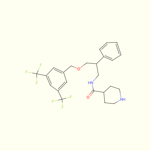 O=C(NCC(COCc1cc(C(F)(F)F)cc(C(F)(F)F)c1)c1ccccc1)C1CCNCC1